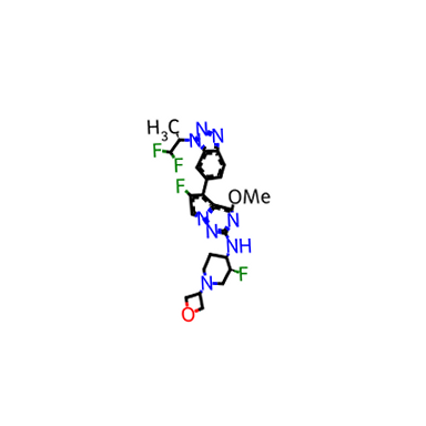 COc1nc(N[C@@H]2CCN(C3COC3)C[C@@H]2F)nn2cc(F)c(-c3ccc4nnn([C@@H](C)C(F)F)c4c3)c12